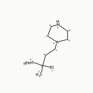 CCCCCC(C)(CC)CCN1CCNCC1